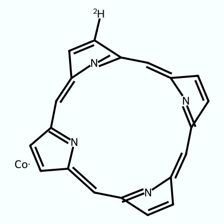 [2H]C1=CC2=CC3=NC(=CC4=NC(=CC5=NC(=CC1=N2)C=C5)C=C4)C=C3.[Co]